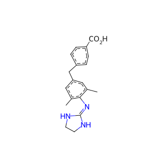 Cc1cc(Cc2ccc(C(=O)O)cc2)cc(C)c1N=C1NCCN1